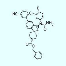 N#Cc1cccc(-c2ccc3c(c2)N(N(C(N)=O)c2ccc(F)c(Cl)c2)CC32CCN(C(=O)OCc3ccccc3)CC2)c1